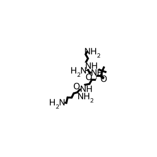 CC(C)(C)C(=O)[C@H](CCCCNC(=O)[C@@H](N)CCCCN)NC(=O)[C@@H](N)NCCCN